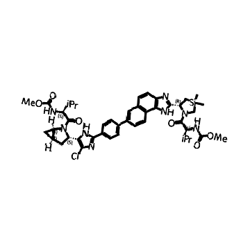 COC(=O)N[C@H](C(=O)N1C[Si](C)(C)C[C@H]1c1nc2ccc3cc(-c4ccc(-c5nc(Cl)c([C@@H]6C[C@H]7C[C@H]7N6C(=O)[C@@H](NC(=O)OC)C(C)C)[nH]5)cc4)ccc3c2[nH]1)C(C)C